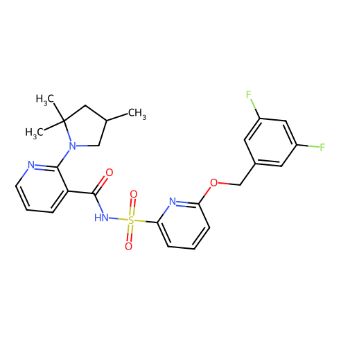 CC1CN(c2ncccc2C(=O)NS(=O)(=O)c2cccc(OCc3cc(F)cc(F)c3)n2)C(C)(C)C1